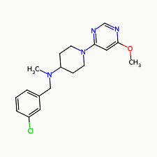 COc1cc(N2CCC(N(C)Cc3cccc(Cl)c3)CC2)ncn1